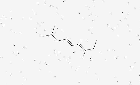 CCC(C)=CC=CCC(C)C